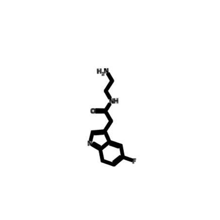 NCCNC(=O)CC1=CN=C2CC=C(F)C=C12